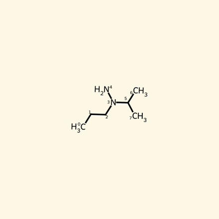 CCCN(N)C(C)C